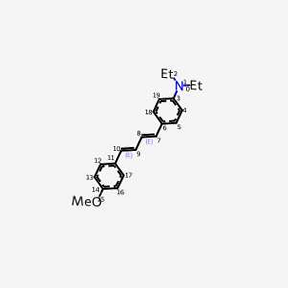 CCN(CC)c1ccc(/C=C/C=C/c2ccc(OC)cc2)cc1